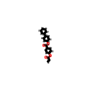 C=CC(=O)Oc1ccc(C(=O)Oc2ccc(-c3ccccc3)cc2)cc1